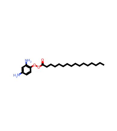 CCCCCCCCCCCCCCCC(=O)OOc1ccc(N)cc1N